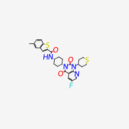 Cc1ccc2sc(C(=O)N[C@H]3CC[C@@H](n4c(=O)c5cc(F)cnc5n(C5CCSCC5)c4=O)CC3)cc2c1